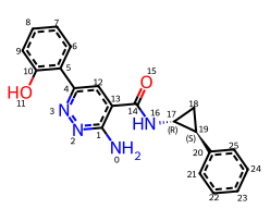 Nc1nnc(-c2ccccc2O)cc1C(=O)N[C@@H]1C[C@H]1c1ccccc1